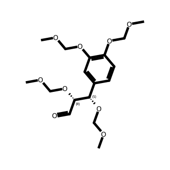 COCOc1ccc([C@H](OCOC)[C@H](C=O)OCOC)cc1OCOC